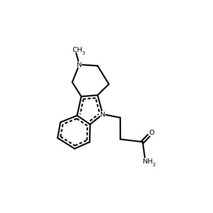 CN1CCc2c(c3ccccc3n2CCC(N)=O)C1